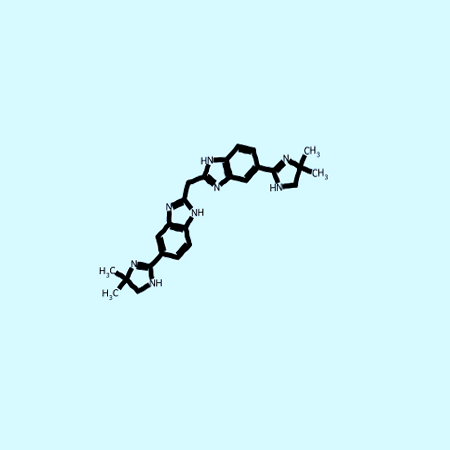 CC1(C)CNC(c2ccc3[nH]c(Cc4nc5cc(C6=NC(C)(C)CN6)ccc5[nH]4)nc3c2)=N1